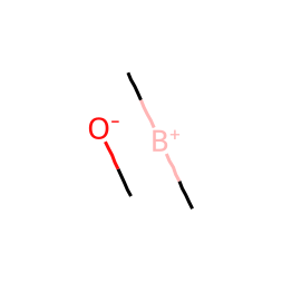 C[B+]C.C[O-]